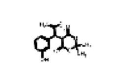 C=C(C)C(c1cccc(O)c1)C1C(=O)OC(C)(C)OC1=O